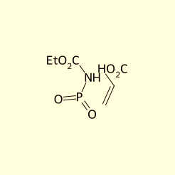 C=CC(=O)O.CCOC(=O)NP(=O)=O